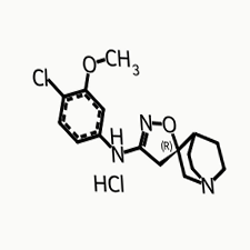 COc1cc(NC2=NO[C@@]3(C2)CN2CCC3CC2)ccc1Cl.Cl